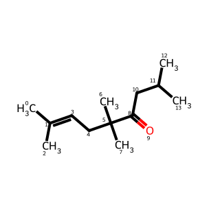 CC(C)=CCC(C)(C)C(=O)CC(C)C